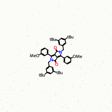 COc1cccc(C2=C3C(=O)N(Cc4cc(C(C)(C)C)cc(C(C)(C)C)c4)C(c4cccc(OC)c4)=C3C(=O)N2Cc2cc(C(C)(C)C)cc(C(C)(C)C)c2)c1